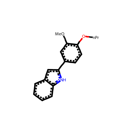 CCCOc1ccc(-c2cc3ccccc3[nH]2)cc1OC